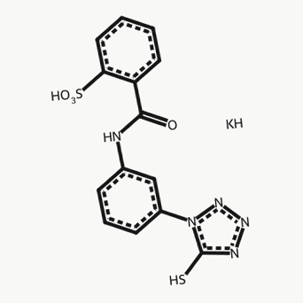 O=C(Nc1cccc(-n2nnnc2S)c1)c1ccccc1S(=O)(=O)O.[KH]